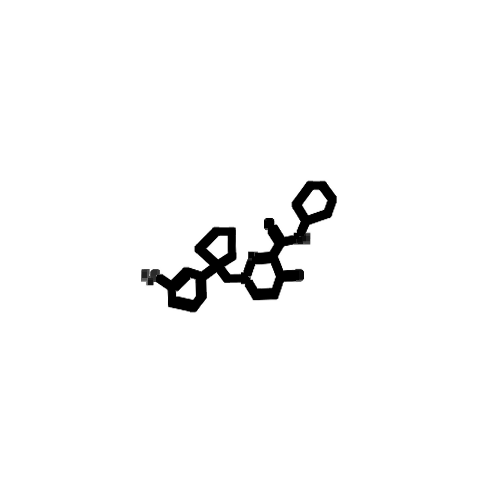 O=C(NC1CCCCC1)c1nn(CC2(c3cccc(C(F)(F)F)c3)CCCC2)ccc1=O